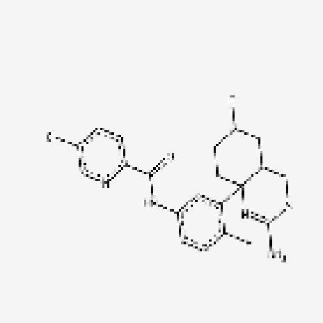 NC1=NC2(c3cc(NC(=O)c4ccc(Cl)cn4)ccc3F)CCC(F)CC2CS1